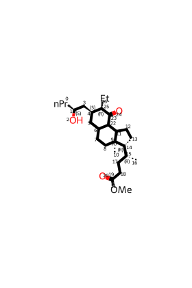 CCC[C@H](O)C[C@@H]1CC2CC[C@@]3(C)C(CC[C@@H]3[C@H](C)CCC(=O)OC)C2C(=O)[C@@H]1CC